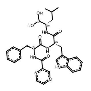 CC(C)C[C@H](NC(=O)[C@H](Cc1c[nH]c2ccccc12)NC(=O)[C@H](Cc1ccccc1)NC(=O)c1cnccn1)B(O)O